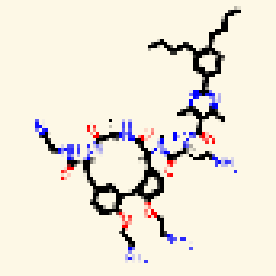 CCCCc1ccc(-c2nc(C)c(C(=O)N[C@@H](CCN)C(=O)N(C)[C@@H]3C(=O)N[C@@H](C)C(=O)N[C@H](C(=O)NCC#N)Cc4ccc(OCCN)c(c4)-c4cc3ccc4OCCN)c(C)n2)cc1CCCC